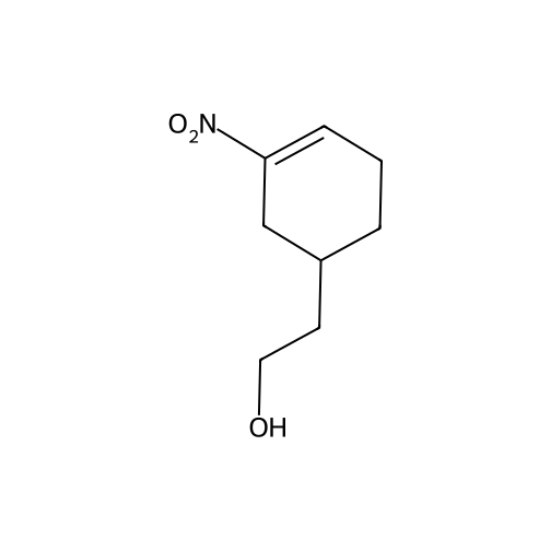 O=[N+]([O-])C1=CCCC(CCO)C1